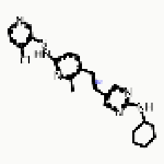 Cc1nc(NSc2cnccc2Cl)ccc1/C=C/c1cnc(NC2CCCCC2)nc1